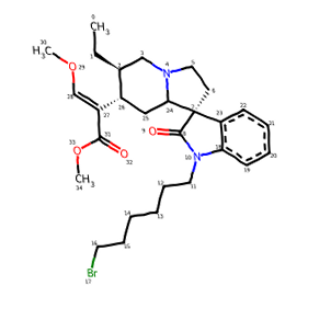 CC[C@H]1CN2CC[C@]3(C(=O)N(CCCCCCBr)c4ccccc43)C2C[C@@H]1/C(=C\OC)C(=O)OC